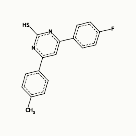 Cc1ccc(-c2cc(-c3ccc(F)cc3)nc(S)n2)cc1